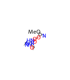 COc1cc(CN(C)C)cc(OCCOC(=O)Nc2cc(-n3nc(C)cc3C)nc(-c3ccc(C)o3)n2)c1